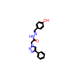 O=C(Cn1cc(-c2ccccc2)nn1)N/N=C/c1ccc(O)cc1